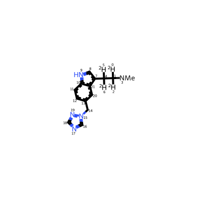 [2H]C([2H])(NC)C([2H])([2H])c1c[nH]c2ccc(Cn3cncn3)cc12